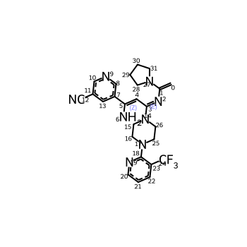 C=C(/N=C(\C=C(/N)c1cncc(C#N)c1)N1CCN(c2ncccc2C(F)(F)F)CC1)N1CCCC1